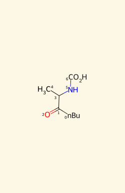 CCCCC(=O)C(C)NC(=O)O